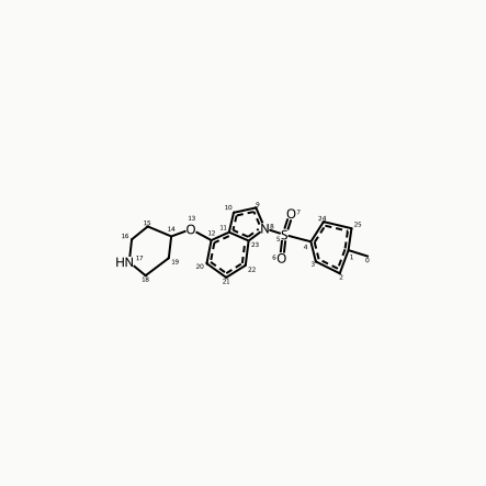 Cc1ccc(S(=O)(=O)n2ccc3c(OC4CCNCC4)cccc32)cc1